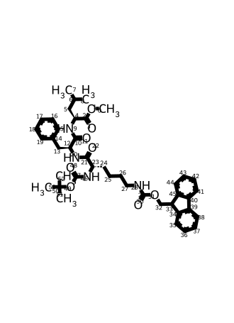 COC(=O)[C@H](CC(C)C)NC(=O)[C@H](Cc1ccccc1)NC(=O)[C@H](CCCCNC(=O)OCC1c2ccccc2-c2ccccc21)NC(=O)OC(C)(C)C